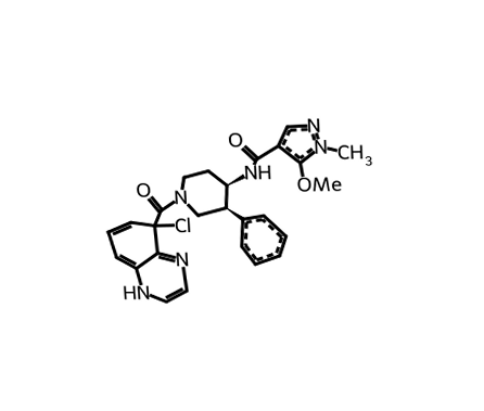 COc1c(C(=O)N[C@@H]2CCN(C(=O)C3(Cl)C=CC=C4NC=CN=C43)C[C@@H]2c2ccccc2)cnn1C